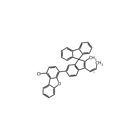 C/C=C\C1=C(C)C2(c3cc(-c4ccc(Cl)c5c4oc4ccccc45)ccc31)c1ccccc1-c1ccccc12